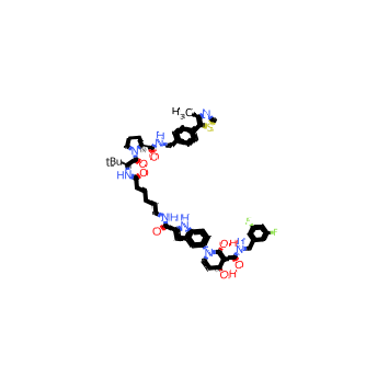 Cc1ncsc1-c1ccc(CNC(=O)[C@@H]2CCCN2C(=O)[C@@H](NC(=O)CCCCCNC(=O)c2cc3cc(N4CC[C@H](O)C(C(=O)NCc5cc(F)cc(F)c5)C4O)ccc3[nH]2)C(C)(C)C)cc1